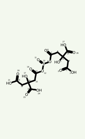 O=C(O)CC(O)(CC(=O)OS(=O)OC(=O)CC(O)(CC(=O)O)C(=O)O)C(=O)O